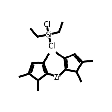 CC1=CC(C)=[C]([Zr][C]2=C(C)C=C(C)C2C)C1C.CC[Si](Cl)(Cl)CC